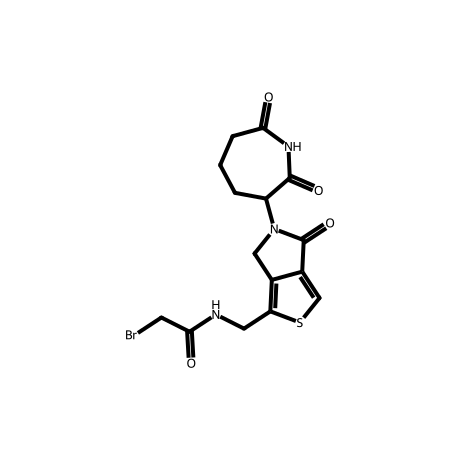 O=C(CBr)NCc1scc2c1CN(C1CCCC(=O)NC1=O)C2=O